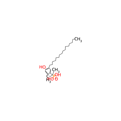 CCCCCCCCCCCCCCCCc1cc(C(CC)(CC)P(=O)(O)O)ccc1O